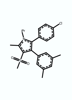 Cc1cc(C)cc(-c2c(S(C)(=O)=O)c(C)n(C(C)C)c2-c2ccc(Cl)cc2)c1